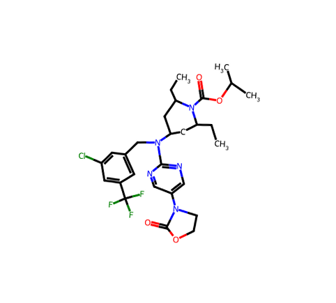 CCC1CC(N(Cc2cc(Cl)cc(C(F)(F)F)c2)c2ncc(N3CCOC3=O)cn2)CC(CC)N1C(=O)OC(C)C